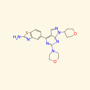 Nc1nc2cc(-c3nc(N4CCOCC4)nc4c3cnn4C3CCOCC3)ccc2s1